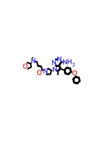 Cc1c(-c2ccc(Oc3ccccc3)cc2)c2c(N)ncnc2n1[C@@H]1CCN(C(=O)/C=C/CN(C)[C@@H]2CCOC2)C1